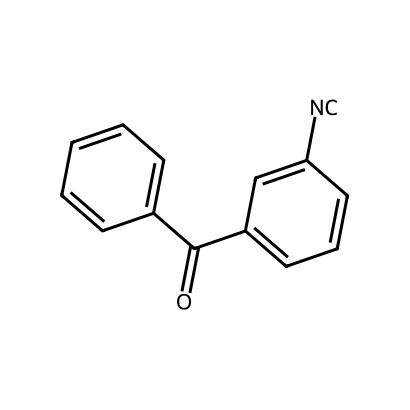 [C-]#[N+]c1cccc(C(=O)c2ccccc2)c1